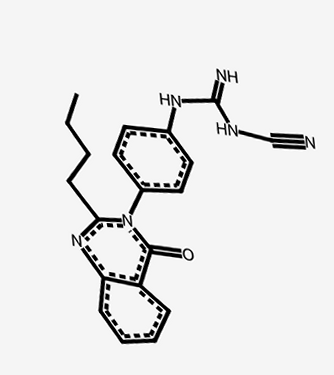 CCCCc1nc2ccccc2c(=O)n1-c1ccc(NC(=N)NC#N)cc1